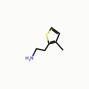 Cc1ccsc1CCN